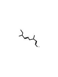 [CH2]C=CC(C)CC=CC(C)CC